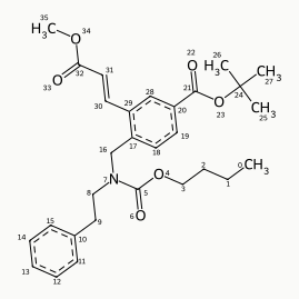 CCCCOC(=O)N(CCc1ccccc1)Cc1ccc(C(=O)OC(C)(C)C)cc1C=CC(=O)OC